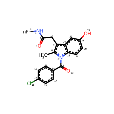 CCCNC(=O)Cc1c(C)n(C(=O)c2ccc(Cl)cc2)c2ccc(O)cc12